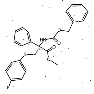 COC(=O)[C@](CSc1ccc(F)cc1)(NC(=O)OCc1ccccc1)c1ccccc1